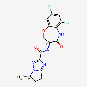 C[C@H]1CCc2nc(C(=O)N[C@H]3COc4cc(F)cc(F)c4NC3=O)nn21